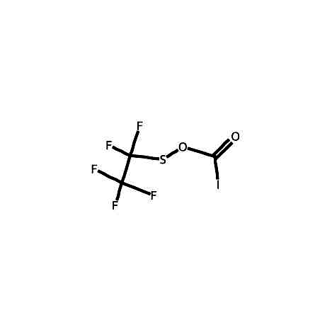 O=C(I)OSC(F)(F)C(F)(F)F